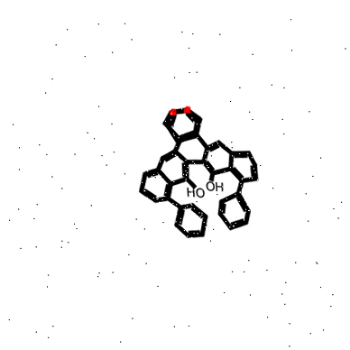 Oc1c(-c2c(-c3ccccc3)cc3cccc(-c4ccccc4)c3c2O)c(-c2ccccc2)cc2cccc(-c3ccccc3)c12